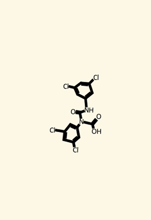 O=C(O)N(C(=O)Nc1cc(Cl)cc(Cl)c1)c1cc(Cl)cc(Cl)c1